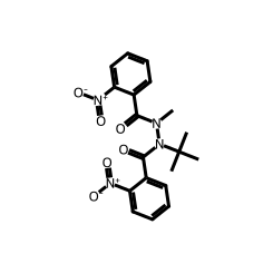 CN(C(=O)c1ccccc1[N+](=O)[O-])N(C(=O)c1ccccc1[N+](=O)[O-])C(C)(C)C